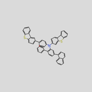 c1ccc(-c2ccc(-c3cccc4ccccc34)cc2N(c2ccc(-c3ccc4sc5ccccc5c4c3)cc2)c2ccc3c(c2)sc2ccccc23)cc1